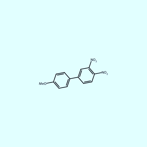 COc1ccc(-c2ccc([N+](=O)[O-])c([N+](=O)[O-])c2)cc1